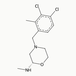 CN[C@@H]1CN(Cc2ccc(Cl)c(Cl)c2C)CCO1